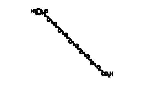 O=C(O)CCOCCOCCOCCOCCOCCOCCOCCOCCOCCOCCC(=O)N1CCNCC1